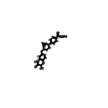 CC[C@@H]1Oc2ccc(CN3CCN(c4ccc(C(=O)NC)nc4)C4CC43)cc2NC1=O